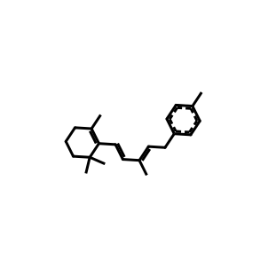 CC(C=CC1=C(C)CCCC1(C)C)=CCc1ccc(C)cc1